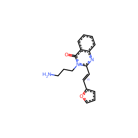 NCCCn1c(/C=C/c2ccco2)nc2ccccc2c1=O